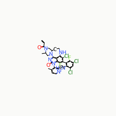 C=CC(=O)N1CC2CCNc3c(Cl)c(-c4c(N)c(Cl)cc(Cl)c4F)c(F)c4c3c(nc(=O)n4-c3c(C)ccnc3C(C)C)N2CC1C